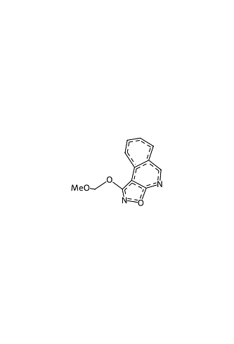 COCOc1noc2ncc3ccccc3c12